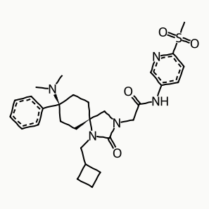 CN(C)[C@]1(c2ccccc2)CC[C@@]2(CC1)CN(CC(=O)Nc1ccc(S(C)(=O)=O)nc1)C(=O)N2CC1CCC1